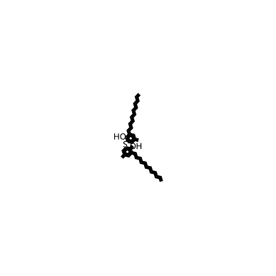 CCCCCCCCCCCCc1cc(C)cc(Sc2cc(C)cc(CCCCCCCCCCCC)c2O)c1O